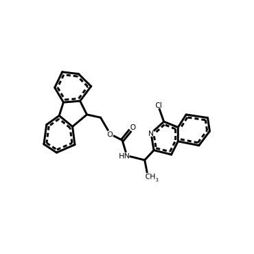 CC(NC(=O)OCC1c2ccccc2-c2ccccc21)c1cc2ccccc2c(Cl)n1